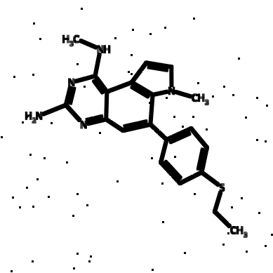 CCSc1ccc(-c2cc3nc(N)nc(NC)c3c3ccn(C)c23)cc1